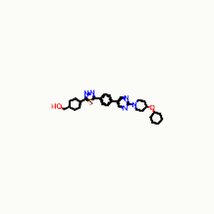 OCC1CCC(c2nnc(-c3ccc(-c4cnc(N5CCC(OC6CCCCC6)CC5)nc4)cc3)s2)CC1